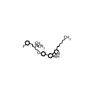 CCCCCC=Cc1cnc2[nH]c3ccc(-c4ccc(OCCC(C=Cc5cccc(F)c5)N(C)C)cc4)cc3c2c1